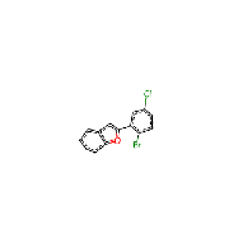 Clc1ccc(Br)c(-c2cc3ccccc3o2)c1